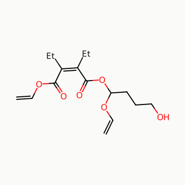 C=COC(=O)/C(CC)=C(/CC)C(=O)OC(CCCO)OC=C